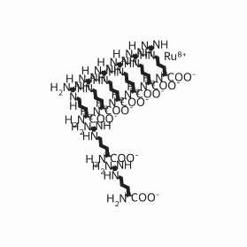 N=C(N)NCCC[C@H](N)C(=O)[O-].N=C(N)NCCC[C@H](N)C(=O)[O-].N=C(N)NCCC[C@H](N)C(=O)[O-].N=C(N)NCCC[C@H](N)C(=O)[O-].N=C(N)NCCC[C@H](N)C(=O)[O-].N=C(N)NCCC[C@H](N)C(=O)[O-].N=C(N)NCCC[C@H](N)C(=O)[O-].N=C(N)NCCC[C@H](N)C(=O)[O-].[Ru+8]